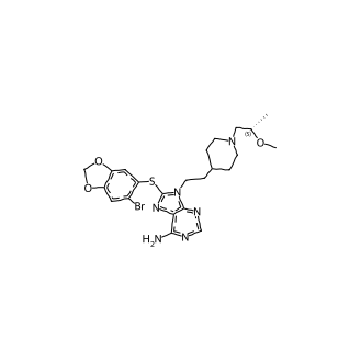 CO[C@@H](C)CN1CCC(CCn2c(Sc3cc4c(cc3Br)OCO4)nc3c(N)ncnc32)CC1